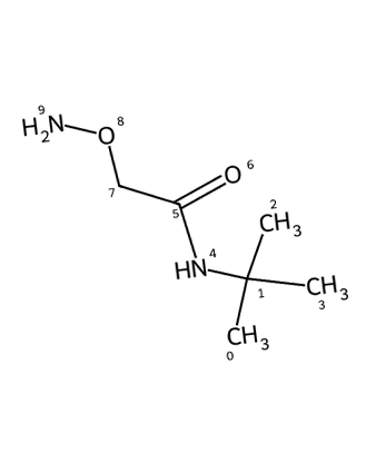 CC(C)(C)NC(=O)CON